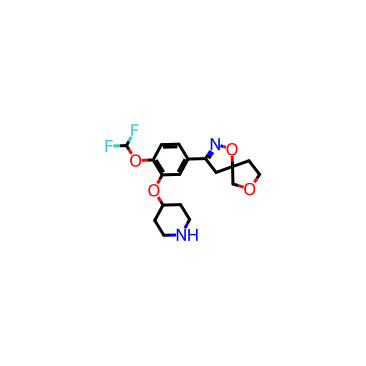 FC(F)Oc1ccc(C2=NOC3(CCOC3)C2)cc1OC1CCNCC1